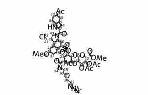 COC(=O)[C@H]1OC(Oc2ccc(C(=O)N(C)CCOCCN=[N+]=[N-])cc2OS(=O)(=O)c2cc3c(c4cc(OC)ccc24)[C@H](CCl)CN3C(=O)c2cc3cc(C(C)=O)ccc3[nH]2)[C@H](OC(C)=O)[C@@H](OC(C)=O)[C@@H]1OC(C)=O